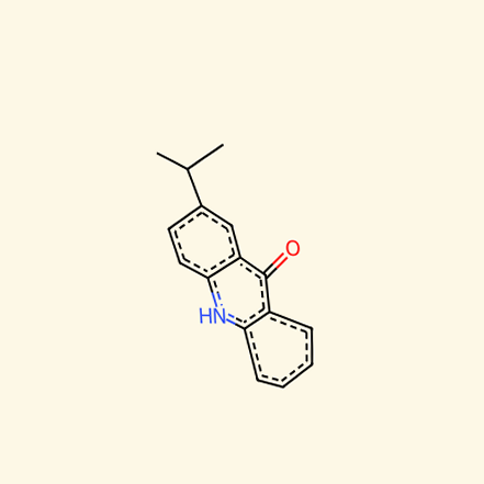 CC(C)c1ccc2[nH]c3ccccc3c(=O)c2c1